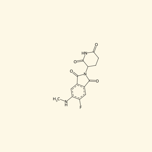 CNc1cc2c(cc1F)C(=O)N(C1CCC(=O)NC1=O)C2=O